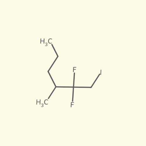 CCCC(C)C(F)(F)CI